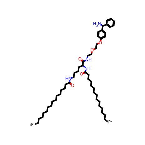 CC(C)CCCCCCCCCCCCCCC(=O)NCCCCC(NC(=O)CCCCCCCCCCCCCCC(C)C)C(=O)NCCOCCOc1ccc(C(N)c2ccccc2)cc1